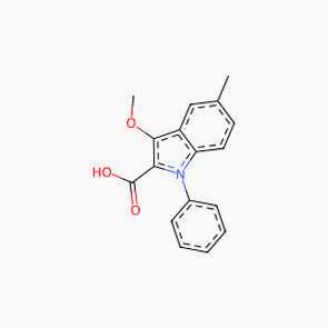 COc1c(C(=O)O)n(-c2ccccc2)c2ccc(C)cc12